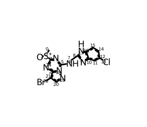 C[S+]([O-])c1nc(NCc2nc3cc(Cl)ccc3[nH]2)n2ncc(Br)c2n1